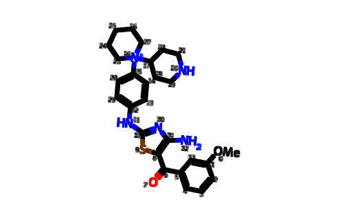 COc1cccc(C(=O)c2sc(Nc3ccc([N+]4(C5CCNCC5)CCCCC4)cc3)nc2N)c1